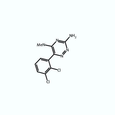 CNc1nc(N)nnc1-c1cccc(Cl)c1Cl